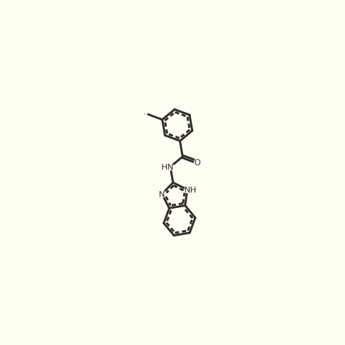 [CH2]c1cccc(C(=O)Nc2nc3ccccc3[nH]2)c1